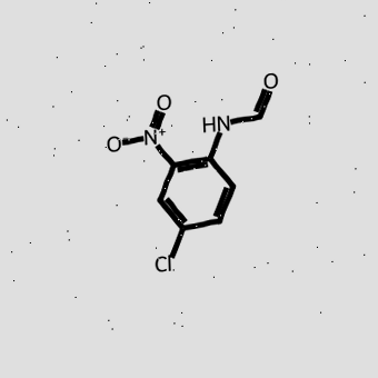 O=CNc1ccc(Cl)cc1[N+](=O)[O-]